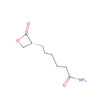 NC(=O)CCCCC[C@@H]1COC1=O